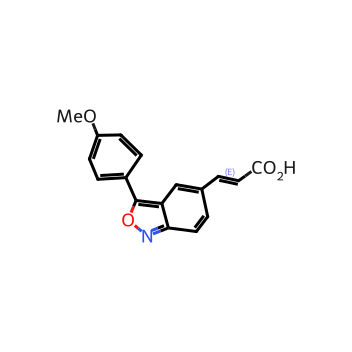 COc1ccc(-c2onc3ccc(/C=C/C(=O)O)cc23)cc1